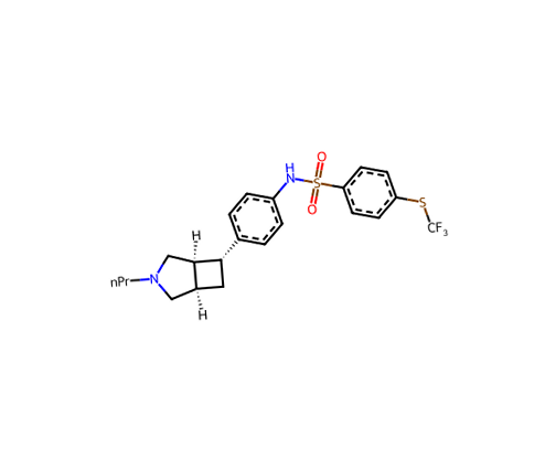 CCCN1C[C@@H]2C[C@@H](c3ccc(NS(=O)(=O)c4ccc(SC(F)(F)F)cc4)cc3)[C@@H]2C1